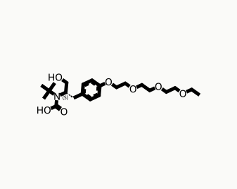 CCOCCOCCOCCOc1ccc(C[C@@H](CO)N(C(=O)O)C(C)(C)C)cc1